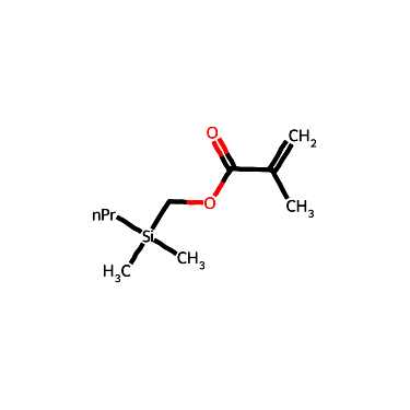 C=C(C)C(=O)OC[Si](C)(C)CCC